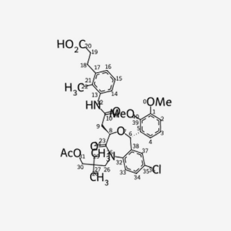 COc1cccc([C@H]2O[C@H](CC(=O)Nc3cccc(CCC(=O)O)c3C)C(=O)N(CC(C)(C)COC(C)=O)c3ccc(Cl)cc32)c1OC